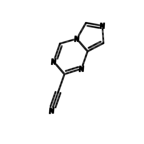 N#Cc1ncn2cncc2n1